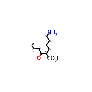 CC=CC(=O)C(CCCCN)C(=O)O